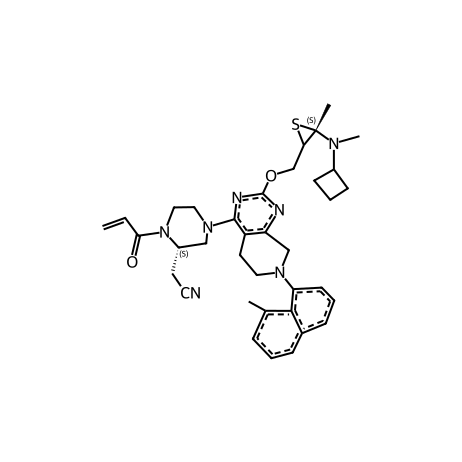 C=CC(=O)N1CCN(c2nc(OCC3S[C@]3(C)N(C)C3CCC3)nc3c2CCN(c2cccc4cccc(C)c24)C3)C[C@@H]1CC#N